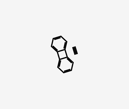 C#C.c1ccc2c(c1)-c1ccccc1-2